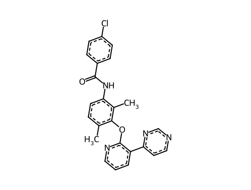 Cc1ccc(NC(=O)c2ccc(Cl)cc2)c(C)c1Oc1ncccc1-c1ccncn1